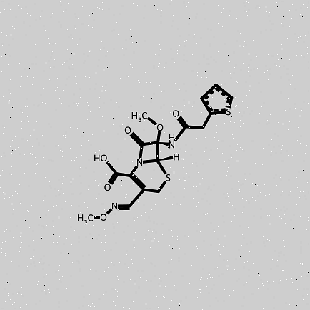 CON=CC1=C(C(=O)O)N2C(=O)[C@](NC(=O)Cc3cccs3)(OC)[C@@H]2SC1